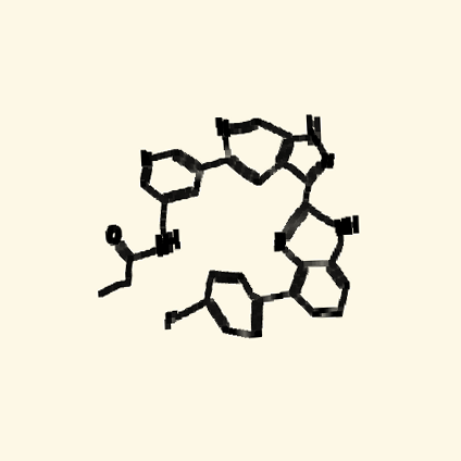 CCC(=O)Nc1cncc(-c2cc3c(-c4nc5c(-c6ccc(F)cc6)cccc5[nH]4)n[nH]c3cn2)c1